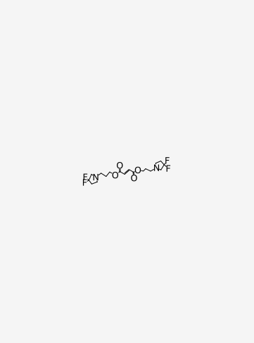 O=C(/C=C/C(=O)OCCCN1CCC(F)(F)C1)OCCCN1CCC(F)(F)C1